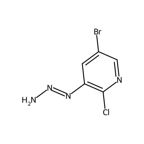 NN=Nc1cc(Br)cnc1Cl